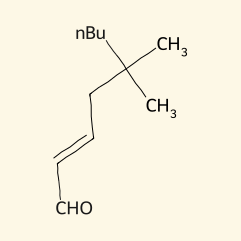 CCCCC(C)(C)C/C=C/C=O